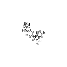 CC(C)(C)OC(=O)N[C@H]1CC[C@H](N(CC2CC2)c2ccc(F)cn2)CC1